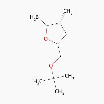 BC1OC(COC(C)(C)C)C[C@H]1C